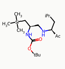 CC(=O)[C@H](CC(C)C)NC[C@H](C[Si](C)(C)C)NC(=O)OC(C)(C)C